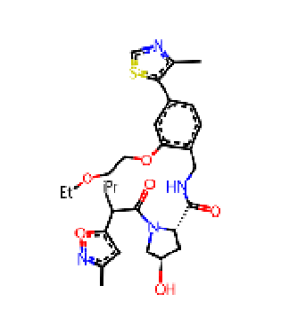 [CH2]COCCOc1cc(-c2scnc2C)ccc1CNC(=O)[C@@H]1C[C@@H](O)CN1C(=O)C(c1cc(C)no1)C(C)C